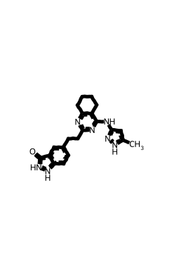 Cc1cc(Nc2nc(CCc3ccc4[nH][nH]c(=O)c4c3)nc3c2CCCC3)n[nH]1